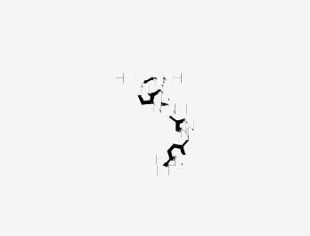 CC1CN(C)c2nc(NCc3cnn(Cc4ccc(C(F)(F)F)nc4)c3)nc3ccn1c23